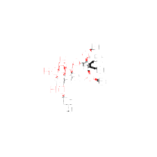 CCO.CCO.CCO.CCO.CC[O][Ti](=[O])([CH2]C)([CH2]C)[O]CC.[Ti]